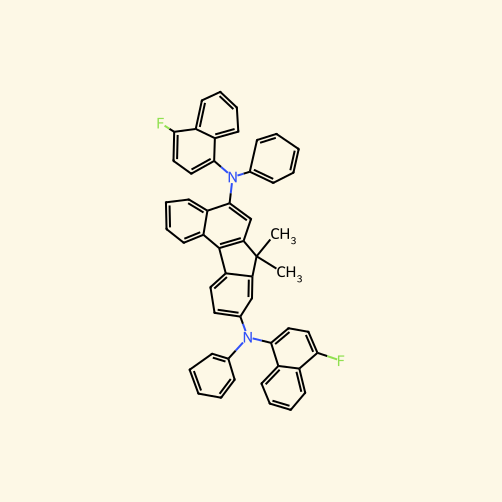 CC1(C)c2cc(N(c3ccccc3)c3ccc(F)c4ccccc34)ccc2-c2c1cc(N(c1ccccc1)c1ccc(F)c3ccccc13)c1ccccc21